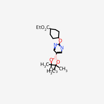 CCOC(=O)C1CCC(Oc2ncc(B3OC(C)(C)C(C)(C)O3)cn2)CC1